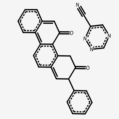 N#Cc1cncnn1.O=C1C=c2ccccc2=c2ccc3c(c21)CC(=O)C(c1ccccc1)C=3